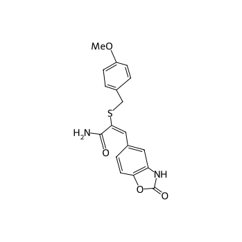 COc1ccc(CS/C(=C/c2ccc3oc(=O)[nH]c3c2)C(N)=O)cc1